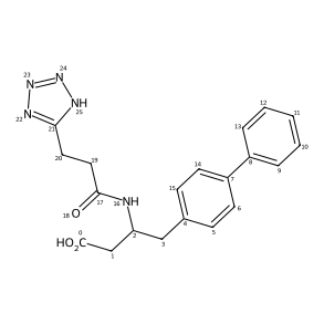 O=C(O)CC(Cc1ccc(-c2ccccc2)cc1)NC(=O)CCc1nnn[nH]1